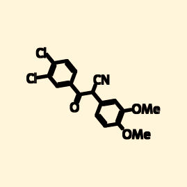 COc1ccc(C(C#N)C(=O)c2ccc(Cl)c(Cl)c2)cc1OC